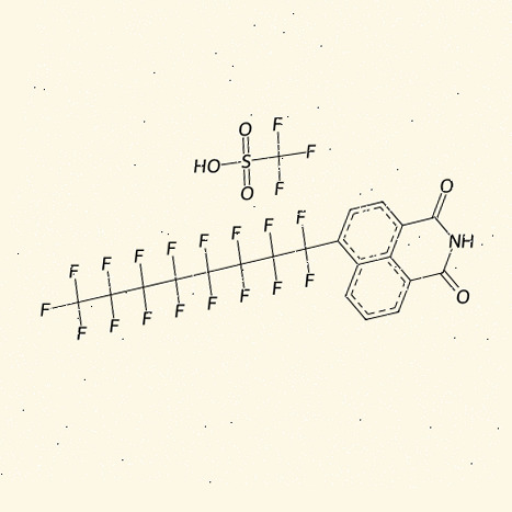 O=C1NC(=O)c2ccc(C(F)(F)C(F)(F)C(F)(F)C(F)(F)C(F)(F)C(F)(F)C(F)(F)C(F)(F)F)c3cccc1c23.O=S(=O)(O)C(F)(F)F